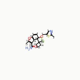 Cc1ncc(COc2ccc3oc(C)c(C(N)=O)c3c2C2(C(F)F)CCC2)s1